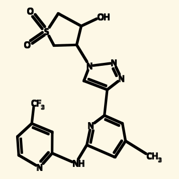 Cc1cc(Nc2cc(C(F)(F)F)ccn2)nc(-c2cn(C3CS(=O)(=O)CC3O)nn2)c1